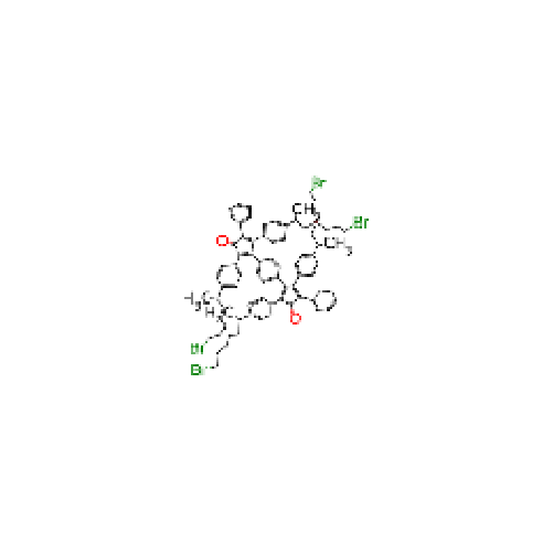 CC(CCCCCBr)c1ccc(C2=C(c3ccc(C4=C(c5ccc(C(C)CCCCCBr)cc5)C(=O)C(c5ccccc5)=C4c4ccc(C(C)CCCCCBr)cc4)cc3)C(c3ccc(C(C)CCCCCBr)cc3)=C(c3ccccc3)C2=O)cc1